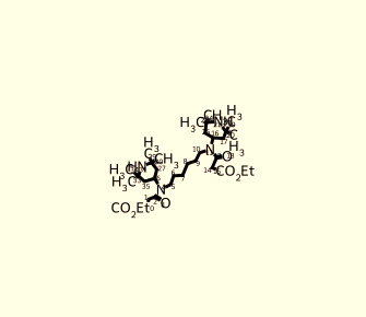 CCOC(=O)CC(=O)N(CCCCCCN(C(=O)CC(=O)OCC)C1CC(C)(C)NC(C)(C)C1)C1CC(C)(C)NC(C)(C)C1